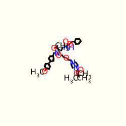 COc1ccc(-c2ccc(CN(OCCOCCN3CCN(C(=O)OC(C)(C)C)CC3)[C@H](CCNC(=O)OCc3ccccc3)C(C)=O)cc2)cc1